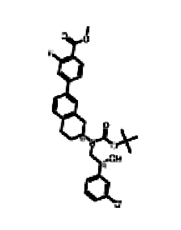 COC(=O)c1ccc(-c2ccc3c(c2)C[C@@H](N(C[C@H](O)c2cccc(Cl)c2)C(=O)OC(C)(C)C)CC3)cc1F